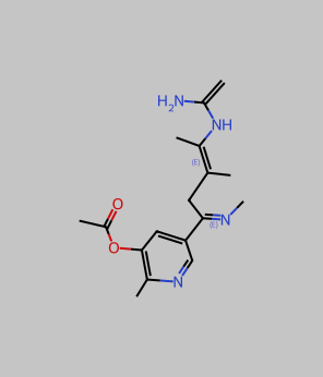 C=C(N)N/C(C)=C(\C)C/C(=N\C)c1cnc(C)c(OC(C)=O)c1